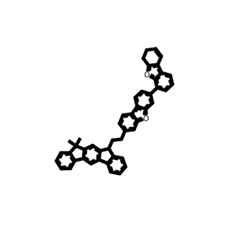 CC1(C)c2ccccc2-c2cc3c(cc21)C(CCc1ccc2c(c1)oc1cc(-c4cccc5c6c(oc45)CCC=C6)ccc12)c1ccccc1-3